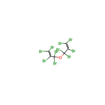 BrC(Br)=C(Br)C(Br)(Br)OC(Br)(Br)C(Br)=C(Br)Br